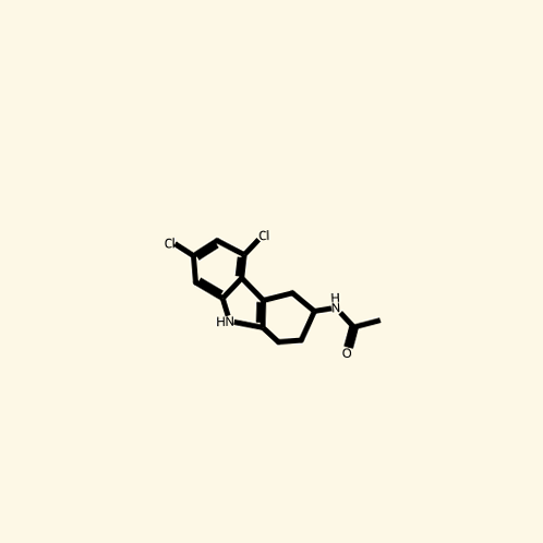 CC(=O)NC1CCc2[nH]c3cc(Cl)cc(Cl)c3c2C1